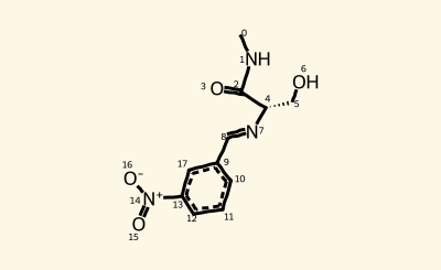 CNC(=O)[C@H](CO)/N=C/c1cccc([N+](=O)[O-])c1